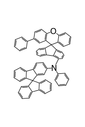 c1ccc(-c2ccc3c(c2)C2(c4ccccc4O3)c3ccccc3-c3c(N(c4ccccc4)c4ccc5c(c4)C4(c6ccccc6-c6ccccc64)c4ccccc4-5)cccc32)cc1